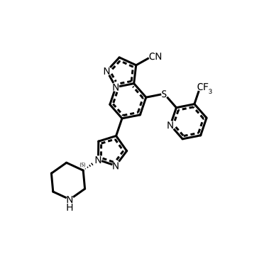 N#Cc1cnn2cc(-c3cnn([C@H]4CCCNC4)c3)cc(Sc3ncccc3C(F)(F)F)c12